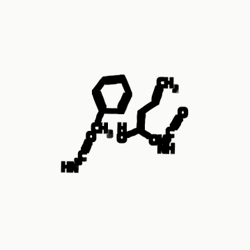 C=CC=C(O)O.Cc1ccccc1.N=C=O.N=C=O